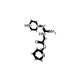 NC(=NN1CCNCC1)NCC(=O)Oc1ccccn1